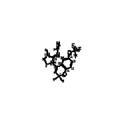 CN1CCN(C2=CC(C)(C)Oc3ccc(OC(F)(F)F)cc32)C1=NC#N